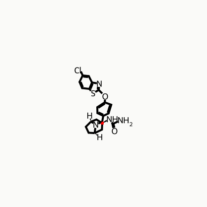 NC(=O)N[C@H]1C[C@H]2CC[C@@H](C1)N2Cc1ccc(Oc2nc3cc(Cl)ccc3s2)cc1